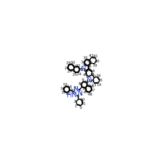 C1=CCC(C2N=C(c3ccc(N4C5C=CC=CC5C5C=c6c(n(-c7ccc8ccccc8c7)c7ccc8c(c67)CCC=C8)=CC54)c4ccccc34)N=C(c3ccccc3)N2)C=C1